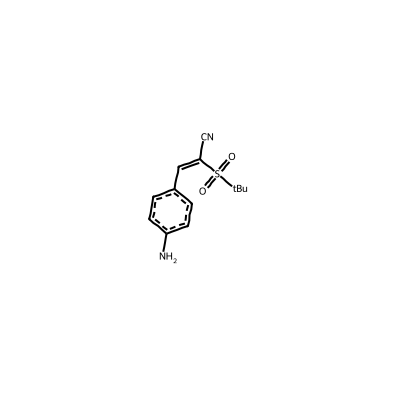 CC(C)(C)S(=O)(=O)C(C#N)=Cc1ccc(N)cc1